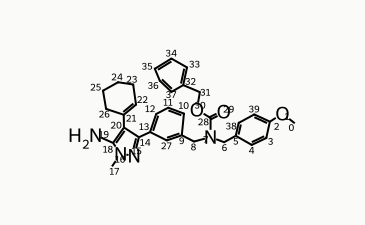 COc1ccc(CN(Cc2cccc(-c3nn(C)c(N)c3C3=CCCCC3)c2)C(=O)OCc2ccccc2)cc1